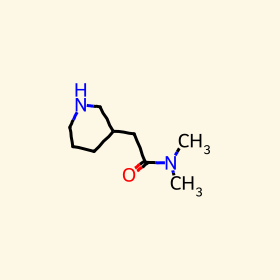 CN(C)C(=O)CC1CCCNC1